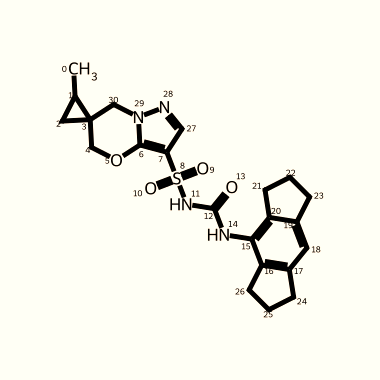 CC1CC12COc1c(S(=O)(=O)NC(=O)Nc3c4c(cc5c3CCC5)CCC4)cnn1C2